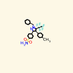 Cc1ccc(-c2c(-c3ccc(S(N)(=O)=O)cc3)nn(Cc3ccccc3)c2C(F)(F)C(F)(F)F)cc1